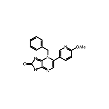 COc1ccc(C2=CN=C3[N]C(=O)N=C3N2Cc2ccccc2)cn1